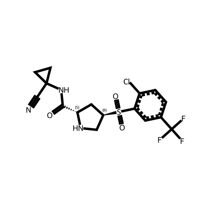 N#CC1(NC(=O)[C@@H]2C[C@@H](S(=O)(=O)c3cc(C(F)(F)F)ccc3Cl)CN2)CC1